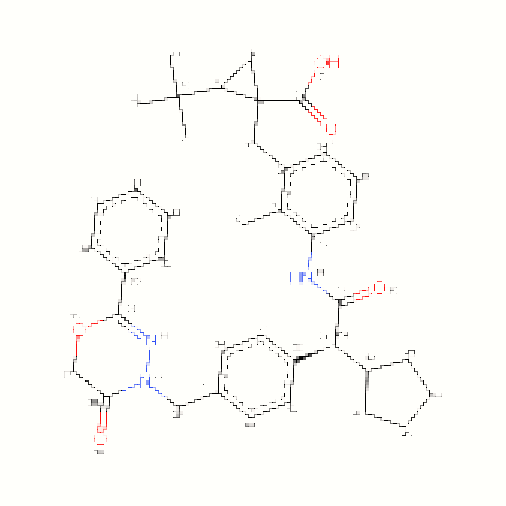 Cc1c(CC2(C(=O)O)CC2C(C)(C)C)cccc1NC(=O)[C@H](c1ccc(CN2N=C(c3ccccc3)OCC2=O)cc1)C1CCCC1